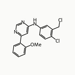 COc1ccccc1-c1cc(Nc2ccc(Cl)c(CCl)c2)ncn1